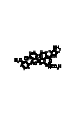 Cc1cccc(Cc2c(Cl)cccc2C(O)(CCCNC(=O)O)C2CCCN(C(=O)C3CCC(N)C3)C2)c1